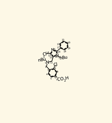 CCCCN(Cc1ccc(C(=O)O)cc1Cl)Cc1c(Cl)nc(-c2ccccc2)n1CCCC